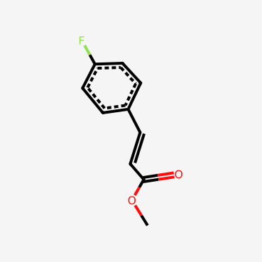 COC(=O)C=Cc1ccc(F)cc1